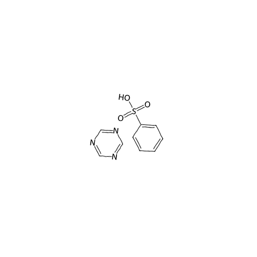 O=S(=O)(O)c1ccccc1.c1ncncn1